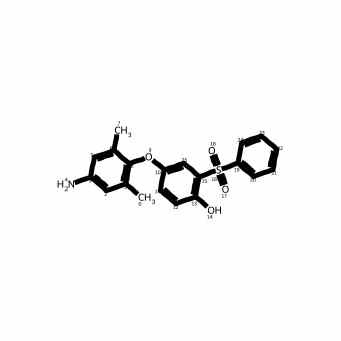 Cc1cc(N)cc(C)c1Oc1ccc(O)c(S(=O)(=O)c2ccccc2)c1